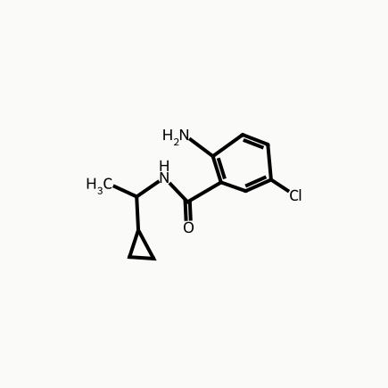 CC(NC(=O)c1cc(Cl)ccc1N)C1CC1